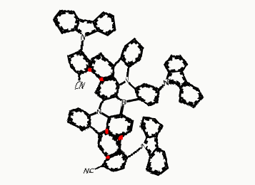 N#Cc1ccc(-n2c3ccccc3c3ccccc32)c(-c2ccc3c(c2)N(c2ccccc2-c2ccccc2)c2cc(-c4cc(-n5c6ccccc6c6ccccc65)ccc4C#N)cc4c2B3c2ccc(-n3c5ccccc5c5ccccc53)cc2N4c2ccccc2-c2ccccc2)c1